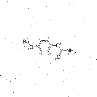 CC(C)(C)Oc1ccc(OC(N)=O)cc1